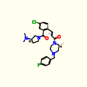 C[C@@H]1CN(Cc2ccc(F)cc2)CCN1C(=O)/C=C/c1ccc(Cl)cc1C(=O)N1CC[C@@H](N(C)C)C1